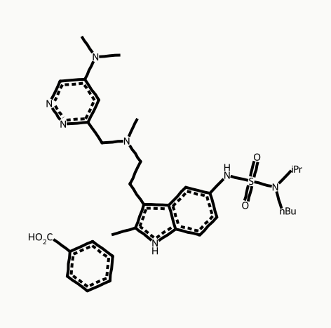 CCCCN(C(C)C)S(=O)(=O)Nc1ccc2[nH]c(C)c(CCN(C)Cc3cc(N(C)C)cnn3)c2c1.O=C(O)c1ccccc1